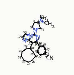 CN(C)[C@@H]1CCN(c2nc(-c3ccc(C#N)cc3)c(C3CCCCCCCC3)c3nccn23)C1